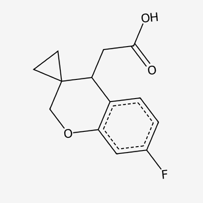 O=C(O)CC1c2ccc(F)cc2OCC12CC2